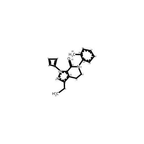 CCc1nn(C2=CC=C2)c2c1CCN(c1ccccc1C)C2=O